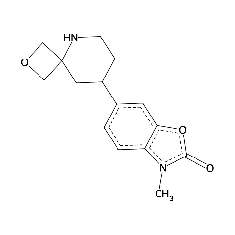 Cn1c(=O)oc2cc(C3CCNC4(COC4)C3)ccc21